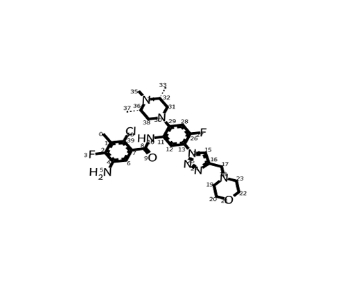 Cc1c(F)c(N)cc(C(=O)Nc2cc(-n3cc(CN4CCOCC4)nn3)c(F)cc2N2C[C@@H](C)N(C)[C@@H](C)C2)c1Cl